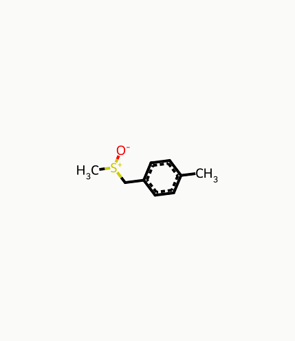 Cc1ccc(C[S+](C)[O-])cc1